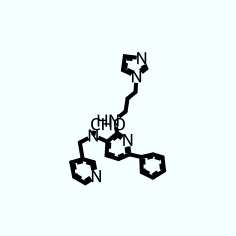 O=CN(Cc1cccnc1)c1ccc(-c2ccccc2)nc1NCCCn1ccnc1